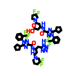 O=C(NC(CCN1CCCC(F)(F)C1)Cc1nnn[nH]1)c1nc(C2CCCC2)n(-c2ccccc2C(F)(F)F)n1.O=C(O)CC(CCN1CCC(F)(F)C1)NC(=O)c1nc(C2CCCC2)n(-c2ccccc2C(F)(F)F)n1